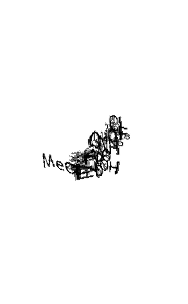 CCN1C(=O)c2c(O)c(=O)c(C(=O)NCc3ccc(F)c(Cl)c3)c3n2C(CC3)[C@H]1OC